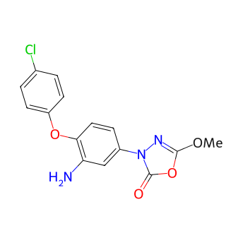 COc1nn(-c2ccc(Oc3ccc(Cl)cc3)c(N)c2)c(=O)o1